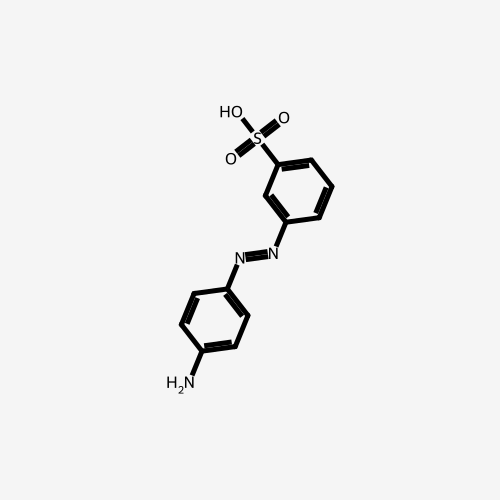 Nc1ccc(/N=N/c2cccc(S(=O)(=O)O)c2)cc1